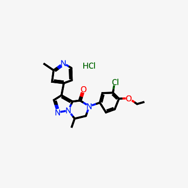 CCOc1ccc(N2CC(C)n3ncc(-c4ccnc(C)c4)c3C2=O)cc1Cl.Cl